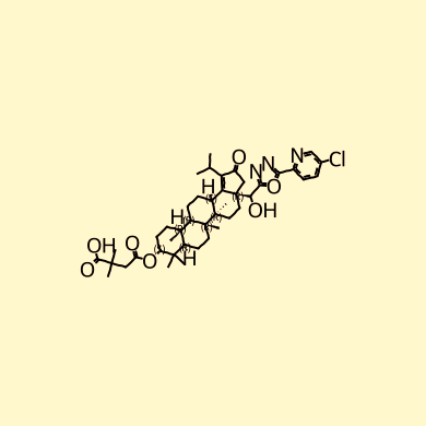 CC(C)C1=C2[C@H]3CC[C@@H]4[C@@]5(C)CC[C@H](OC(=O)CC(C)(C)C(=O)O)C(C)(C)[C@@H]5CC[C@@]4(C)[C@]3(C)CC[C@@]2(C(O)c2nnc(-c3ccc(Cl)cn3)o2)CC1=O